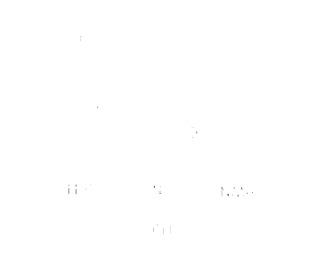 CNC(=O)N(C)C(C)C1CCC(C)O1